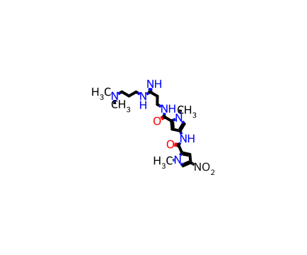 CN(C)CCCNC(=N)CCNC(=O)c1cc(NC(=O)c2cc([N+](=O)[O-])cn2C)cn1C